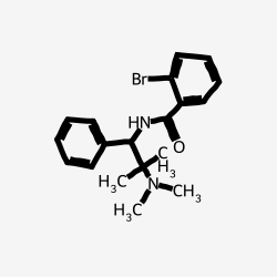 CN(C)C(C)(C)C(NC(=O)c1ccccc1Br)c1ccccc1